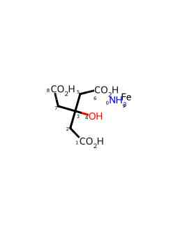 N.O=C(O)CC(O)(CC(=O)O)CC(=O)O.[Fe]